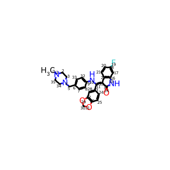 CN1CCN(Cc2ccc(NC(=C3C(=O)Nc4cc(F)ccc43)c3ccc4c(c3)OCO4)cc2)CC1